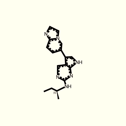 CC[C@H](C)Nc1ncc2c(-c3ccc4nccn4c3)c[nH]c2n1